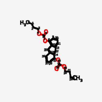 CCCCOC(=O)Oc1cccc2cc3c(OC(=O)OCCCC)cccc3cc12